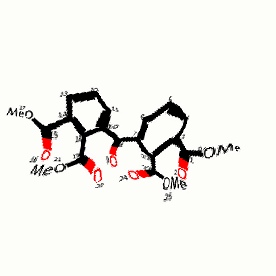 COC(=O)c1cccc(C(=O)c2cccc(C(=O)OC)c2C(=O)OC)c1C(=O)OC